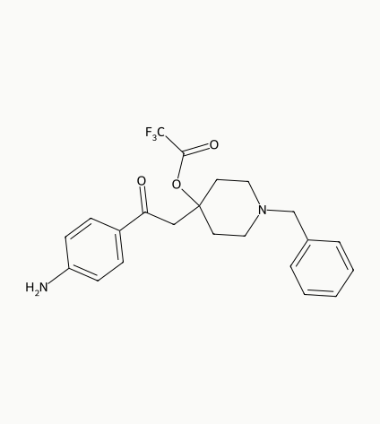 Nc1ccc(C(=O)CC2(OC(=O)C(F)(F)F)CCN(Cc3ccccc3)CC2)cc1